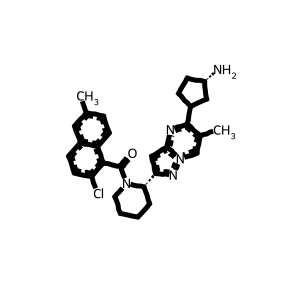 Cc1ccc2c(C(=O)N3CCCC[C@H]3c3cc4nc(C5CC[C@H](N)C5)c(C)cn4n3)c(Cl)ccc2c1